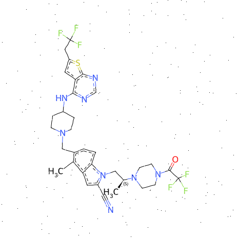 Cc1c(CN2CCC(Nc3ncnc4sc(CC(F)(F)F)cc34)CC2)ccc2c1cc(C#N)n2C[C@H](C)N1CCN(C(=O)C(F)(F)F)CC1